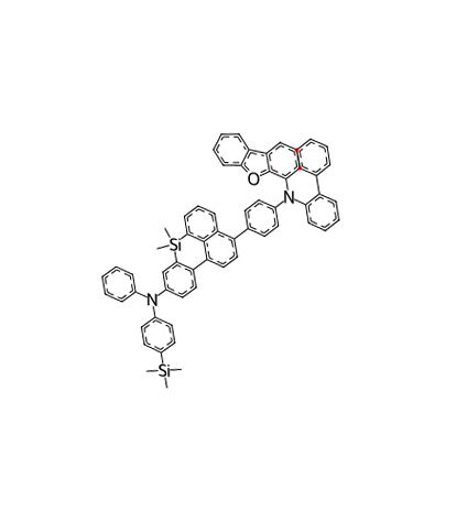 C[Si](C)(C)c1ccc(N(c2ccccc2)c2ccc3c(c2)[Si](C)(C)c2cccc4c(-c5ccc(N(c6ccccc6-c6ccccc6)c6cccc7c6oc6ccccc67)cc5)ccc-3c24)cc1